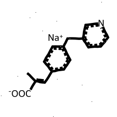 CC(=Cc1ccc(Cc2cccnc2)cc1)C(=O)[O-].[Na+]